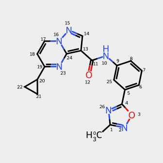 Cc1noc(-c2cccc(NC(=O)c3cnn4ccc(C5CC5)nc34)c2)n1